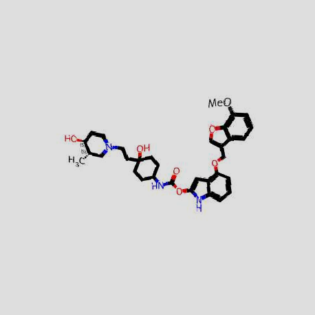 COc1cccc2c(COc3cccc4[nH]c(OC(=O)NC5CCC(O)(CCN6CC[C@H](O)[C@@H](C)C6)CC5)cc34)coc12